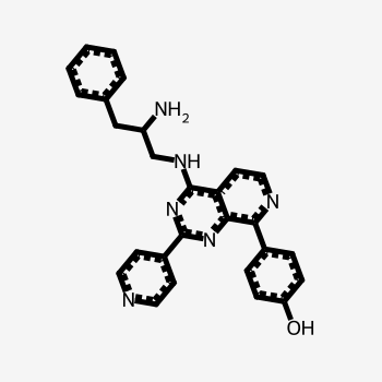 NC(CNc1nc(-c2ccncc2)nc2c(-c3ccc(O)cc3)nccc12)Cc1ccccc1